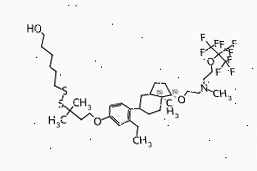 CCc1cc(OCCC(C)(C)SSCCCCCCO)ccc1C1CC[C@@]2(C)C(CC[C@@H]2OCCN(C)CCOC(C(F)(F)F)(C(F)(F)F)C(F)(F)F)C1